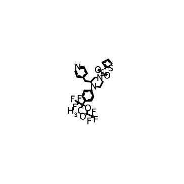 CC(OC(=O)C(F)(F)F)(c1ccc(N2CCN(S(=O)(=O)c3cccs3)CC2Cc2ccncc2)cc1)C(F)(F)F